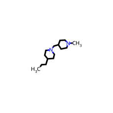 CCCC1CCN(CC2CCN(C)CC2)CC1